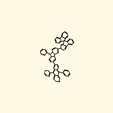 C1=CCCC(c2c3c(c(-c4ccccc4)c4ccc(C5=CC6C7C=C(C8C=C9C(=CC8)c8ccccc8C98c9ccccc9-c9ccccc98)C=CC7N(c7ccccc7)C6C=C5)cc24)=CCCC=3)=C1